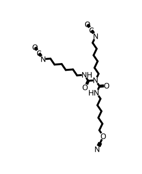 N#COCCCCCCNC(=O)N(CCCCCCN=C=O)C(=O)NCCCCCCN=C=O